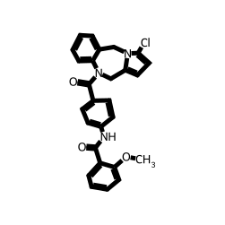 COc1ccccc1C(=O)Nc1ccc(C(=O)N2Cc3ccc(Cl)n3Cc3ccccc32)cc1